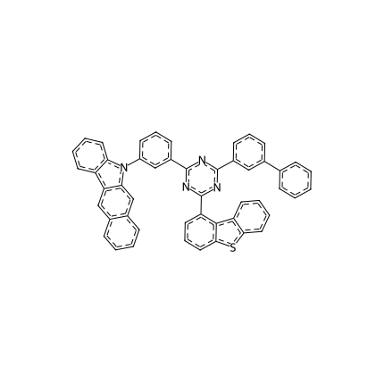 c1ccc(-c2cccc(-c3nc(-c4cccc(-n5c6ccccc6c6cc7ccccc7cc65)c4)nc(-c4cccc5sc6ccccc6c45)n3)c2)cc1